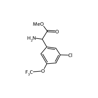 COC(=O)C(N)c1cc(Cl)cc(OC(F)(F)F)c1